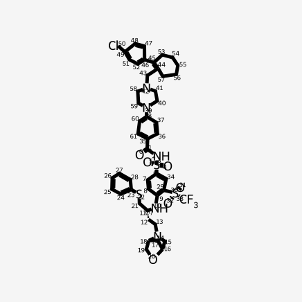 O=C(NS(=O)(=O)c1ccc(N[C@H](CCN2CC3CC2CO3)CSc2ccccc2)c(S(=O)(=O)C(F)(F)F)c1)c1ccc(N2CCN(CC3=C(c4ccc(Cl)cc4)CCCCC3)CC2)cc1